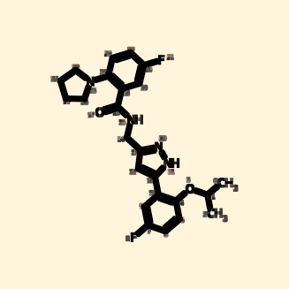 CC(C)Oc1ccc(F)cc1-c1cc(CNC(=O)c2cc(F)ccc2N2CCCC2)n[nH]1